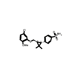 COc1ccc(Cl)cc1SC[C@H]1[C@H](c2ccc(S(N)(=O)=O)cc2)C1(C)C